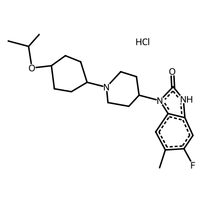 Cc1cc2c(cc1F)[nH]c(=O)n2C1CCN(C2CCC(OC(C)C)CC2)CC1.Cl